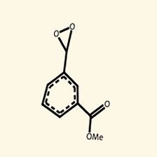 COC(=O)c1cccc(C2OO2)c1